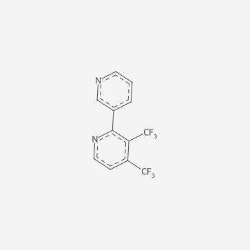 FC(F)(F)c1ccnc(-c2cccnc2)c1C(F)(F)F